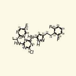 C[C@H](Nc1nc(Cl)nc(Nc2cc(CCc3c(F)cccc3F)n[nH]2)n1)c1ncc(F)cn1